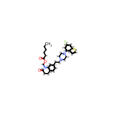 CCCCCC(=O)OCN1C(=O)CCc2ccc(CCN3CCN(c4cc(F)cc5sccc45)CC3)cc21